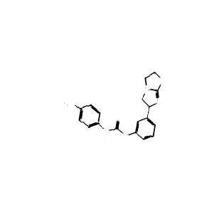 N#Cc1ccc(NC(=S)Nc2cccc(C3CN4CCSC4=N3)c2)cc1